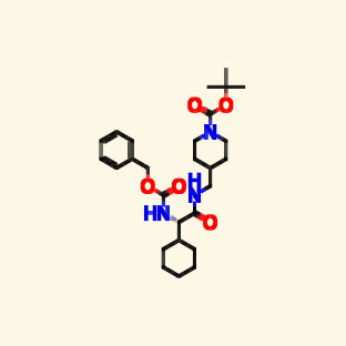 CC(C)(C)OC(=O)N1CCC(CNC(=O)[C@@H](NC(=O)OCc2ccccc2)C2CCCCC2)CC1